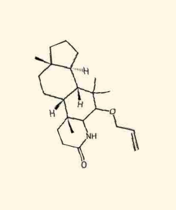 C=CCOC1C2NC(=O)CC[C@]2(C)[C@@H]2CC[C@]3(C)CCC[C@H]3[C@@H]2C1(C)C